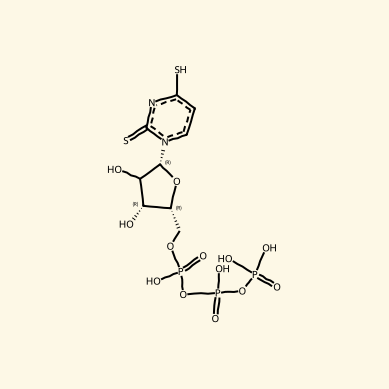 O=P(O)(O)OP(=O)(O)OP(=O)(O)OC[C@H]1O[C@@H](n2ccc(S)nc2=S)C(O)[C@H]1O